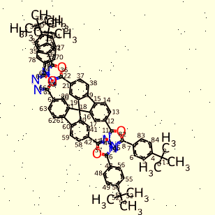 CC(C)(C)c1ccc(-c2nnc(-c3ccc4c(c3)C3(c5cc(-c6nnc(-c7ccc(C(C)(C)C)cc7)o6)ccc5-4)c4cc(-c5nnc(-c6ccc(C(C)(C)C)cc6)o5)ccc4-c4ccc(-c5nnc(-c6ccc(C(C)(C)C)cc6)o5)cc43)o2)cc1